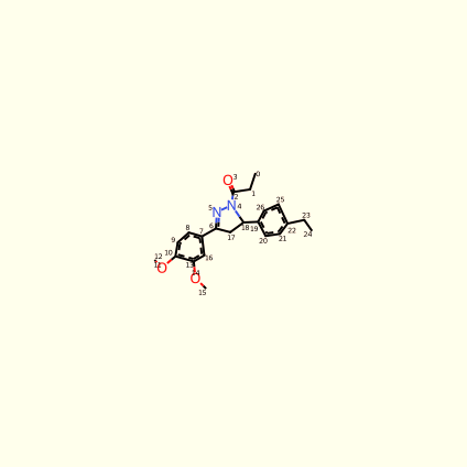 CCC(=O)N1N=C(c2ccc(OC)c(OC)c2)CC1c1ccc(CC)cc1